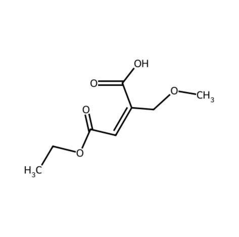 CCOC(=O)C=C(COC)C(=O)O